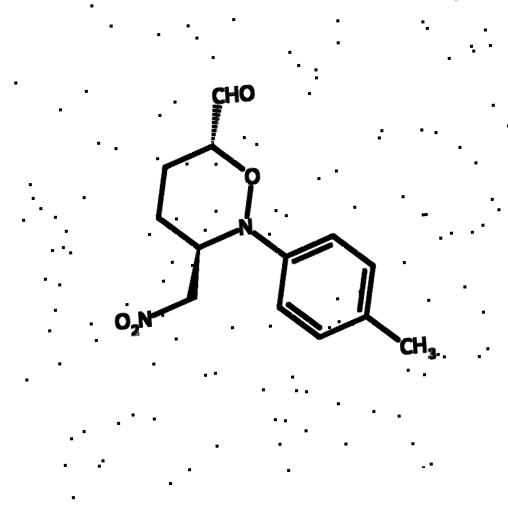 Cc1ccc(N2O[C@@H](C=O)CC[C@@H]2C[N+](=O)[O-])cc1